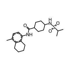 Cc1ccc(NC(=O)C2CCC(NS(=O)(=O)C(C)C)CC2)c2c1CCCC2